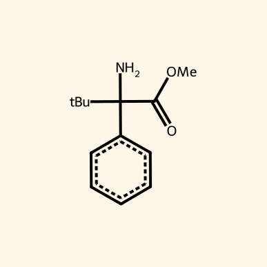 COC(=O)C(N)(c1ccccc1)C(C)(C)C